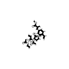 C=C(C)C(=O)OC.C=CC(=O)OC(C)O.C=COC(C)=O.C=Cc1ccccc1.O=C1CCCN1